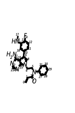 C=CC(=O)N(CCn1cc(-c2ccc(F)c(NC)c2)c2c(N)ncnc21)c1ccccc1